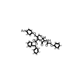 CC(=O)c1ccc(OCC2=C(C(=O)OC(c3ccccc3)c3ccccc3)N3C(=O)C(NC(=O)COc4ccccc4)[C@H]3SC2)cc1